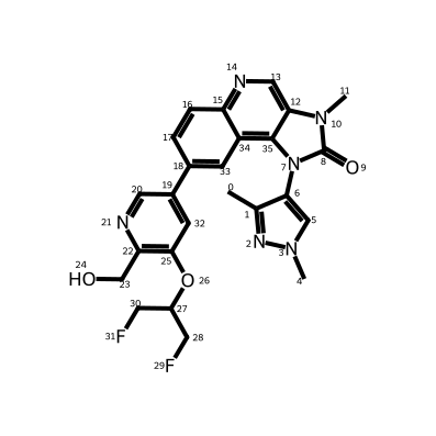 Cc1nn(C)cc1-n1c(=O)n(C)c2cnc3ccc(-c4cnc(CO)c(OC(CF)CF)c4)cc3c21